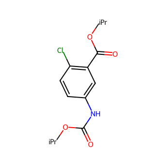 CC(C)OC(=O)Nc1ccc(Cl)c(C(=O)OC(C)C)c1